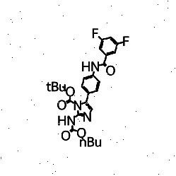 CCCCOC(=O)Nc1ncc(-c2ccc(NC(=O)c3cc(F)cc(F)c3)cc2)n1C(=O)OC(C)(C)C